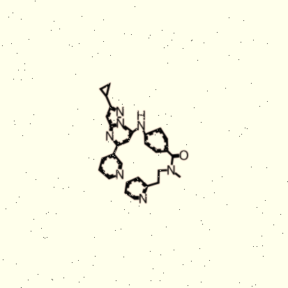 CN(CCc1ccccn1)C(=O)c1ccc(Nc2cc(-c3cccnc3)nc3cc(C4CC4)nn23)cc1